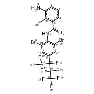 Nc1cccc(C(=O)Nc2c(Br)cc(C(F)(C(F)(F)F)C(F)(F)C(F)(F)F)cc2Br)c1F